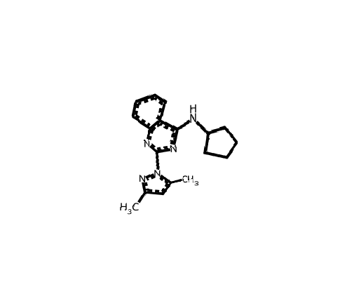 Cc1cc(C)n(-c2nc(NC3CCCC3)c3ccccc3n2)n1